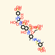 Cc1cc(N=Nc2c(S(=O)(=O)O)cc3c(S(=O)(=O)O)c(N=Nc4c(C(=O)O)nn(-c5ccc(S(=O)(=O)O)cc5)c4O)ccc3c2O)c(OCCCS(=O)(=O)O)cc1N=Nc1nc2c(C)cc(S(=O)(=O)O)cc2s1